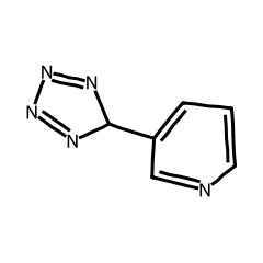 c1cncc(C2N=NN=N2)c1